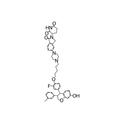 Cc1cccc(C2COc3cc(O)ccc3C2c2ccc(OCCCCCN3CCN(c4ccc5c(c4)CN(C4CCC(=O)NC4=O)C5=O)CC3)c(F)c2)c1